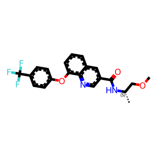 COC[C@H](C)NC(=O)c1cnc2c(Oc3ccc(C(F)(F)F)cc3)cccc2c1